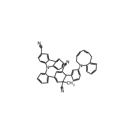 CC1(C#N)C=C(c2ccccc2-n2c3ccccc3c3cc(C#N)ccc32)C=C(C#N)C1c1cccc(N2C/C=C\C=C/Cc3ccccc32)c1